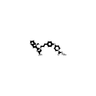 CCCc1cn(CCCc2ccc(OC3CCN(C(=O)OC(C)(C)C)CC3)cc2)c(-c2cc3sccc3n2C)n1